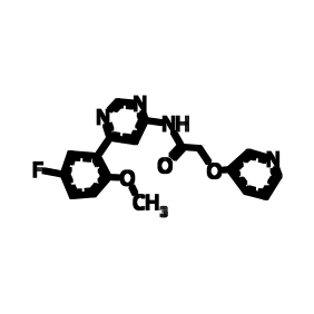 COc1ccc(F)cc1-c1cc(NC(=O)COc2cccnc2)ncn1